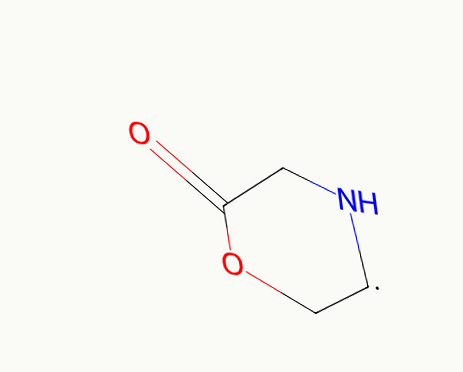 O=C1CN[CH]CO1